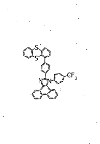 FC(F)(F)c1ccc(-n2c(-c3ccc(-c4cccc5c4Sc4ccccc4S5)cc3)nc3c4ccccc4c4ccccc4c32)cc1